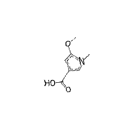 COc1cc(C(=O)O)cn1C